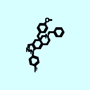 COc1ccc(CC23Cc4cnn(-c5ccc(F)cc5)c4C=C2CCN(Cc2ccccc2)C3)cc1